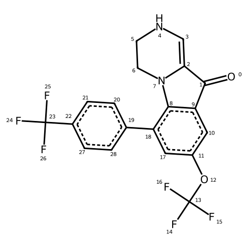 O=C1C2=CNCCN2c2c1cc(OC(F)(F)F)cc2-c1ccc(C(F)(F)F)cc1